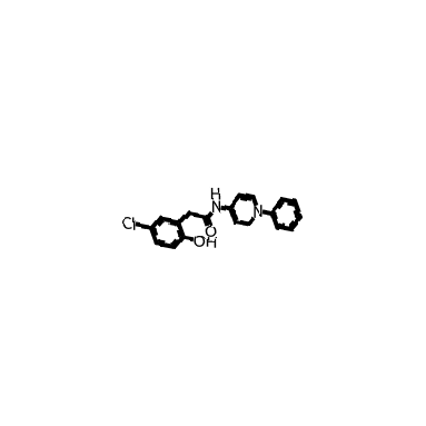 O=C(Cc1cc(Cl)ccc1O)NC1=CCN(c2ccccc2)C=C1